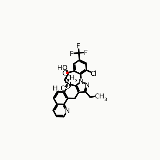 CCc1nn(-c2c(Cl)cc(C(F)(F)F)cc2Cl)c(N(C)C)c1Cc1c(OCCO)ccc2cccnc12